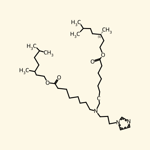 CC(C)CCC(C)CCOC(=O)CCCCCCCN(CCCCCCCC(=O)OCC[C@@H](C)CCC(C)C)CCCn1ccnc1